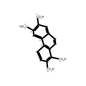 O=C(O)c1cc2ccc3c(C(=O)O)c(C(=O)O)ccc3c2cc1C(=O)O